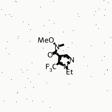 CCn1ncc(C(=O)N(C)OC)c1C(F)(F)F